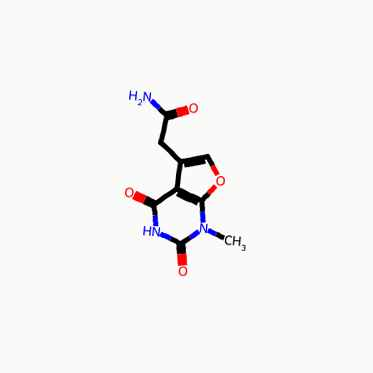 Cn1c(=O)[nH]c(=O)c2c(CC(N)=O)coc21